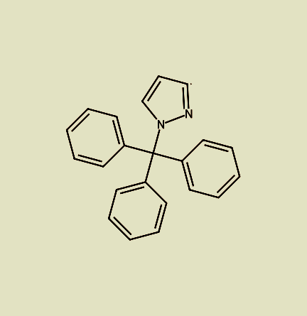 [c]1ccn(C(c2ccccc2)(c2ccccc2)c2ccccc2)n1